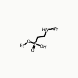 CCOP(=O)(O)CCNC(C)C